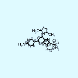 CC1CCC(C)N1c1nc(-c2cnc(N)nc2)nc2c1nc1n2CCOC1(C)C